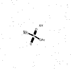 CC(=O)OS(=O)(=O)OC(C)=O.[KH].[KH]